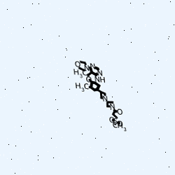 Cc1cc(C2CN(C3CN(C(=O)CCS(C)(=O)=O)C3)C2)cc2c1OC(C)c1c(ncnc1N1CCOCC1)N2